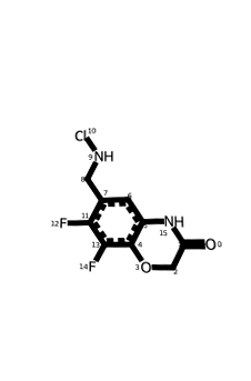 O=C1COc2c(cc(CNCl)c(F)c2F)N1